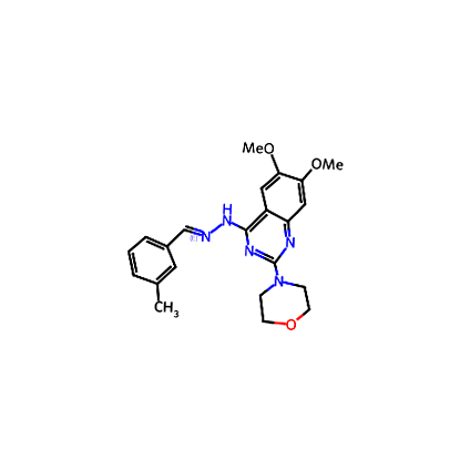 COc1cc2nc(N3CCOCC3)nc(N/N=C/c3cccc(C)c3)c2cc1OC